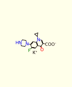 O=C([O-])c1cn(C2CC2)c2cc(N3CCNCC3)c(F)cc2c1=O.[K+]